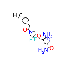 Cc1ccc(CC(=O)N2CC(OCc3cc(C(N)=O)cnc3N)C(F)(F)C2)cc1